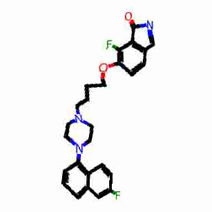 O=C1N=Cc2ccc(OCCCCN3CCN(c4cccc5cc(F)ccc45)CC3)c(F)c21